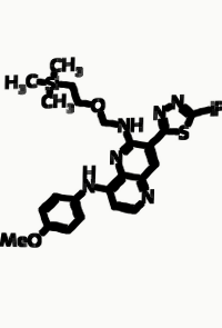 COc1ccc(Nc2ccnc3cc(-c4nnc(C(C)C)s4)c(NCOCC[Si](C)(C)C)nc23)cc1